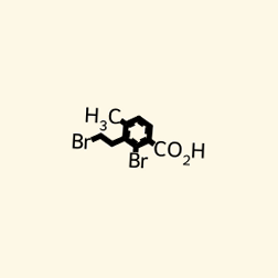 Cc1ccc(C(=O)O)c(Br)c1CCBr